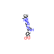 Cc1nc(-n2cnc(CN3C[C@@H](c4ccc5c(c4C)COC5=O)N[C@@H](C)C3)c2)nc(C)c1C#N